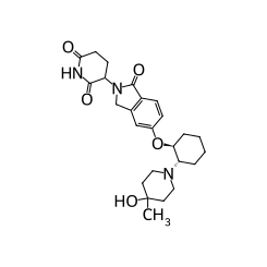 CC1(O)CCN([C@H]2CCCC[C@@H]2Oc2ccc3c(c2)CN(C2CCC(=O)NC2=O)C3=O)CC1